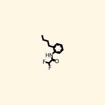 CCCCc1ccccc1NC(=O)C(F)F